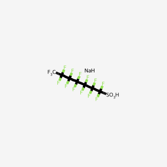 O=S(=O)(O)C(F)(F)C(F)(F)C(F)(F)C(F)(F)C(F)(F)C(F)(F)C(F)(F)F.[NaH]